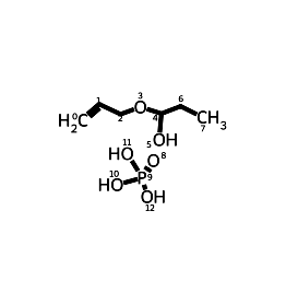 C=CCOC(O)CC.O=P(O)(O)O